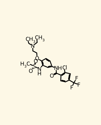 CCN(CC)CCOc1ccc(NC(=O)c2ccc(C(F)(F)F)cc2Cl)cc1NS(C)(=O)=O